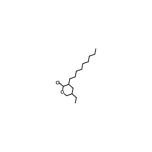 CCCCCCCCCC1CC(CC)COC1Cl